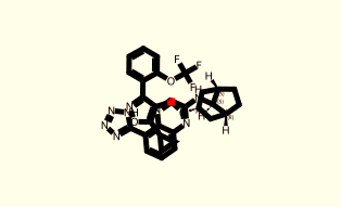 FC(F)(F)Oc1ccccc1-c1noc(C2CC2)c1CO[C@H]1C[C@H]2CC[C@@H](C1)[C@@H]2Nc1cnc2c(-c3nnn[nH]3)cccc2n1